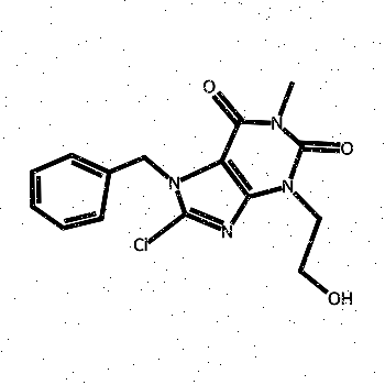 Cn1c(=O)c2c(nc(Cl)n2Cc2ccccc2)n(CCO)c1=O